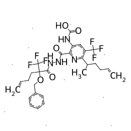 C=CCCC(C)c1nc(C(=O)NNC(=O)C(CCC=C)(OCc2ccccc2)C(F)(F)F)c(NC(=O)O)cc1C(F)(F)F